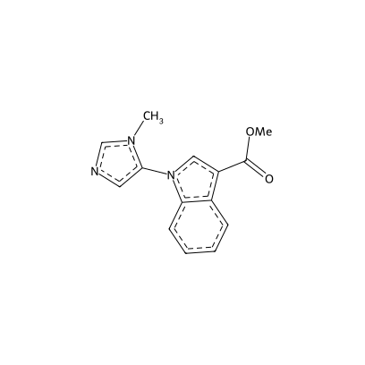 COC(=O)c1cn(-c2cncn2C)c2ccccc12